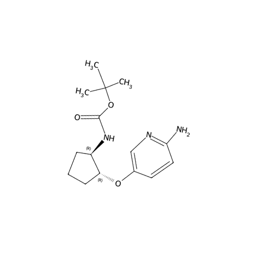 CC(C)(C)OC(=O)N[C@@H]1CCC[C@H]1Oc1ccc(N)nc1